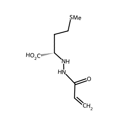 C=CC(=O)NN[C@@H](CCSC)C(=O)O